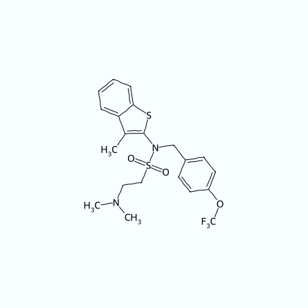 Cc1c(N(Cc2ccc(OC(F)(F)F)cc2)S(=O)(=O)CCN(C)C)sc2ccccc12